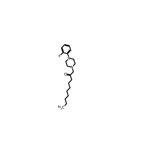 CCCCCCCCC(=O)CN1CCN(c2ccccc2F)CC1